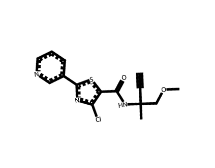 C#CC(C)(COC)NC(=O)c1sc(-c2cccnc2)nc1Cl